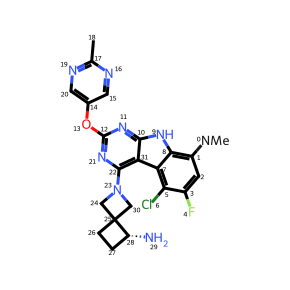 CNc1cc(F)c(Cl)c2c1[nH]c1nc(Oc3cnc(C)nc3)nc(N3CC4(CC[C@H]4N)C3)c12